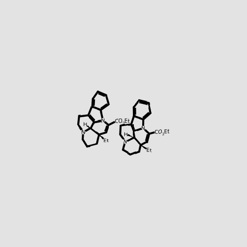 CCOC(=O)C1=C[C@]2(CC)CCCN3CCc4c(n1c1ccccc41)[C@@H]32.CCOC(=O)C1=C[C@]2(CC)CCCN3CCc4c(n1c1ccccc41)[C@@H]32